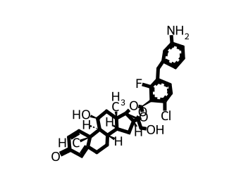 C[C@]12C=CC(=O)C=C1CC[C@@H]1[C@@H]2[C@@H](O)C[C@@]2(C)[C@H]1C[C@H]1O[C@H](c3c(Cl)ccc(Cc4cccc(N)c4)c3F)O[C@]12C(=O)CO